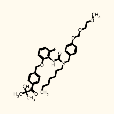 CCCCCCCN(Cc1ccc(OCOCCOC)cc1)C(=O)Nc1c(F)cccc1OCc1ccc(C(=O)C(C)(C)C)cc1